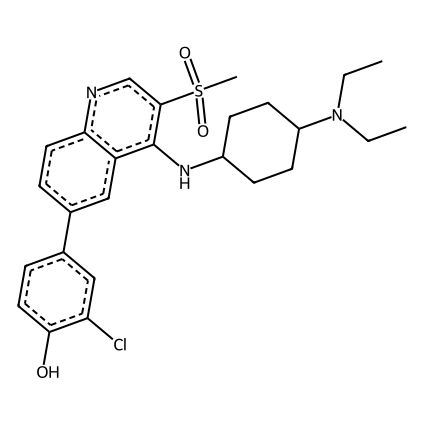 CCN(CC)C1CCC(Nc2c(S(C)(=O)=O)cnc3ccc(-c4ccc(O)c(Cl)c4)cc23)CC1